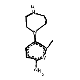 Cc1nc(N)ccc1N1CCNCC1